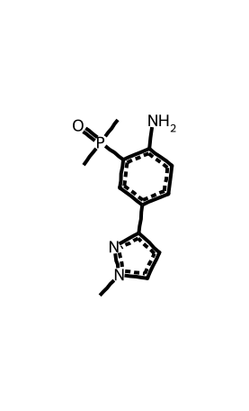 Cn1ccc(-c2ccc(N)c(P(C)(C)=O)c2)n1